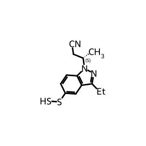 CCc1nn([C@@H](C)CC#N)c2ccc(SS)cc12